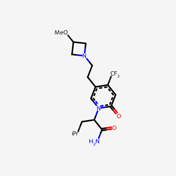 COC1CN(CCc2cn(C(CC(C)C)C(N)=O)c(=O)cc2C(F)(F)F)C1